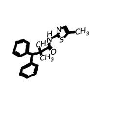 Cc1cnc(NC(=O)C(C)(C)C(c2ccccc2)c2ccccc2)s1